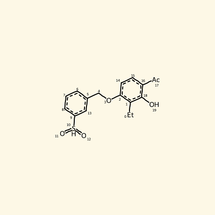 CCc1c(OCc2cc[c]c([SH](=O)=O)c2)ccc(C(C)=O)c1O